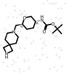 CC(C)(C)OC(=O)N[C@@H]1CC[C@@H](CN2CCC3(CC2)CNC3)OC1